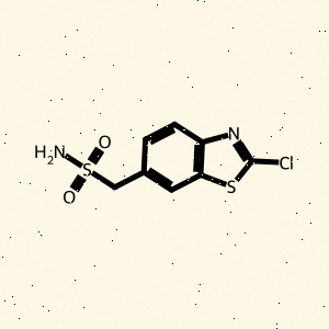 NS(=O)(=O)Cc1ccc2nc(Cl)sc2c1